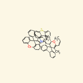 C=C/C(=C\C1=C(C)OC(/C=C\C)=C(C)C12c1ccccc1-c1ccccc12)N(c1cccc2c1C1(c3ccccc3O2)c2ccccc2-c2ccccc21)c1cccc2sc3ccccc3c12